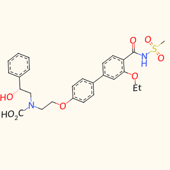 CCOc1cc(-c2ccc(OCCN(C[C@H](O)c3ccccc3)C(=O)O)cc2)ccc1C(=O)NS(C)(=O)=O